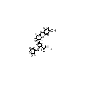 CC1(n2cc(C(N)=O)c(Nc3ccnc(F)c3)n2)CCN(Cc2ccc(O)nc2)CC1